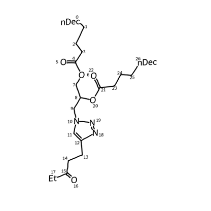 CCCCCCCCCCCCCC(=O)OCC(Cn1cc(CCC(=O)CC)nn1)OC(=O)CCCCCCCCCCCCC